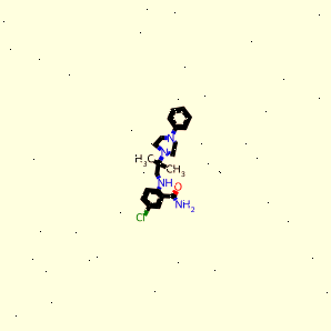 CC(C)(CNc1ccc(Cl)cc1C(N)=O)N1CCN(c2ccccc2)CC1